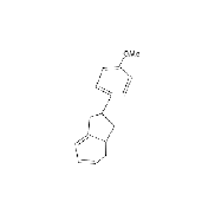 COc1ccc(C2CC3=CC=CCC3C2)cc1